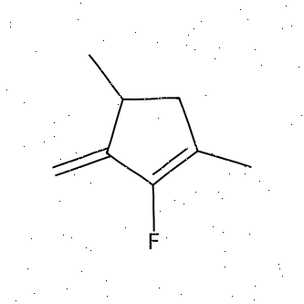 C=C1C(F)=C(C)CC1C